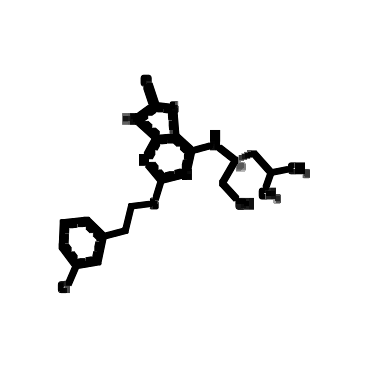 CC(C)C[C@H](CO)Nc1nc(SCCc2cccc(Cl)c2)nc2[nH]c(=O)sc12